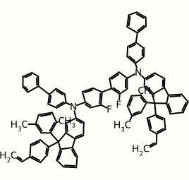 C=Cc1ccc(C2(c3cc(C)ccc3C)c3ccccc3-c3ccc(N(c4ccc(-c5ccccc5)cc4)c4ccc(-c5ccc(N(c6ccc(-c7ccccc7)cc6)c6ccc7c(c6)C(c6ccc(C=C)cc6)(c6cc(C)ccc6C)c6ccccc6-7)cc5F)c(F)c4)cc32)cc1